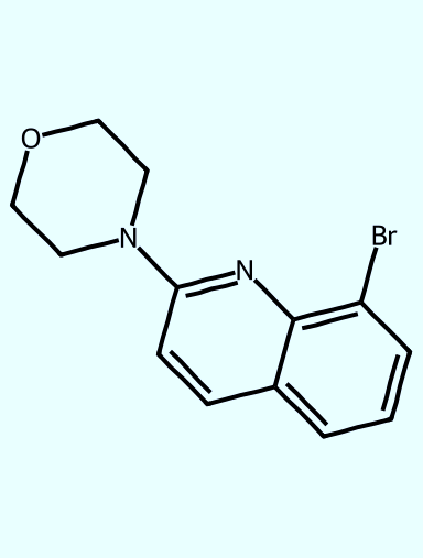 Brc1cccc2ccc(N3CCOCC3)nc12